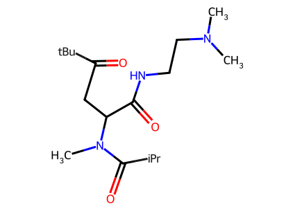 CC(C)C(=O)N(C)C(CC(=O)C(C)(C)C)C(=O)NCCN(C)C